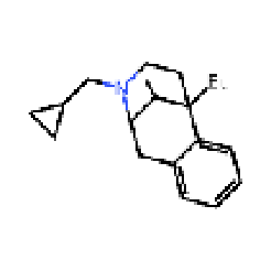 CCC12CCN(CC3CC3)C(Cc3ccccc31)C2C